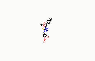 COCOc1ccc(CNC(=S)NC(CCc2ccc(C(C)(C)C)cc2)OC(=O)C(C)(C)C)cc1OC